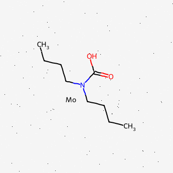 CCCCN(CCCC)C(=O)O.[Mo]